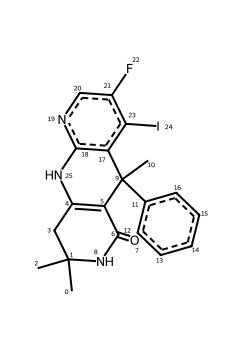 CC1(C)CC2=C(C(=O)N1)C(C)(c1ccccc1)c1c(ncc(F)c1I)N2